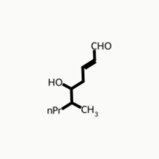 CCCC(C)C(O)CC=CC=O